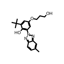 Cc1ccc2nn(-c3cc(OCCCO)cc(C(C)(C)C)c3O)nc2c1